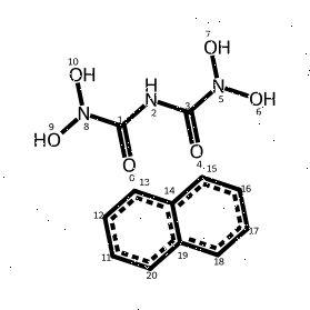 O=C(NC(=O)N(O)O)N(O)O.c1ccc2ccccc2c1